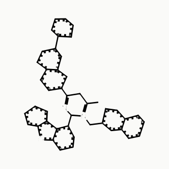 CC1=[N+](Cc2ccc3ccccc3c2)C(c2cccc3oc4ccccc4c23)N=C(c2ccc3ccc(-c4ccccc4)cc3c2)C1